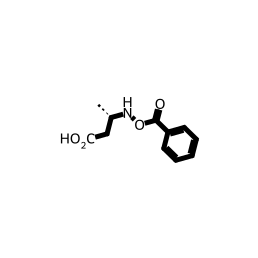 C[C@@H](CC(=O)O)NOC(=O)c1ccccc1